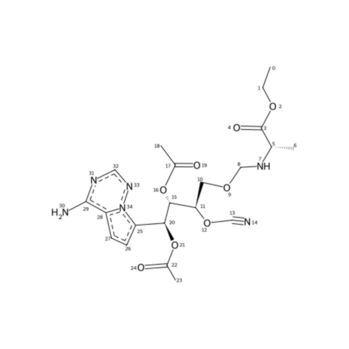 CCOC(=O)[C@H](C)NCOC[C@@H](OC#N)[C@@H](OC(C)=O)[C@@H](OC(C)=O)c1ccc2c(N)ncnn12